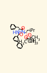 CC(C)C[C@H](NC(=O)[C@H](Cc1ccccc1)NC(=O)c1cccc(-c2ccccc2)c1)B1OC(C)(C)C(C)(C)O1